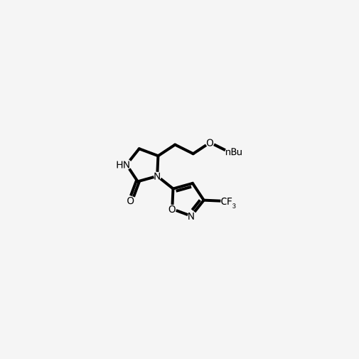 CCCCOCCC1CNC(=O)N1c1cc(C(F)(F)F)no1